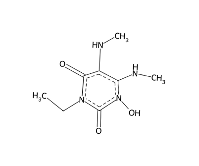 CCn1c(=O)c(NC)c(NC)n(O)c1=O